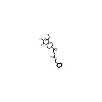 O=C(CCC(=O)N1CCN(C(=O)CCl)N(C(=O)CCl)CC1)OCc1ccccc1